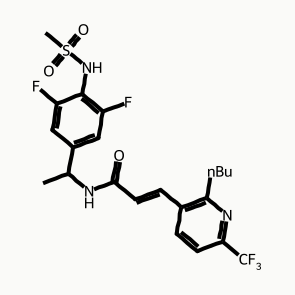 CCCCc1nc(C(F)(F)F)ccc1C=CC(=O)NC(C)c1cc(F)c(NS(C)(=O)=O)c(F)c1